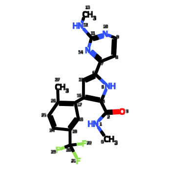 CNC(=O)c1[nH]c(-c2ccnc(NC)n2)cc1-c1cc(C(F)(F)F)ccc1C